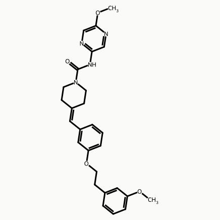 COc1cccc(CCOc2cccc(C=C3CCN(C(=O)Nc4cnc(OC)cn4)CC3)c2)c1